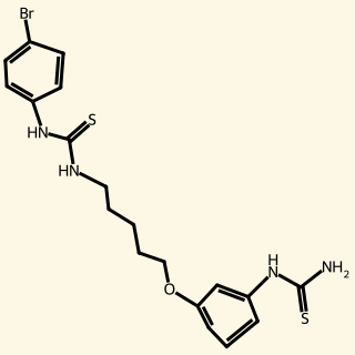 NC(=S)Nc1cccc(OCCCCCNC(=S)Nc2ccc(Br)cc2)c1